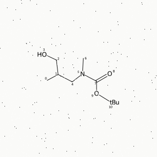 CC(CO)CN(C)C(=O)OC(C)(C)C